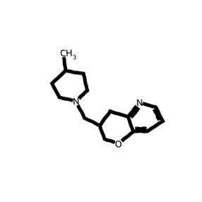 CC1CCN(CC2COc3cccnc3C2)CC1